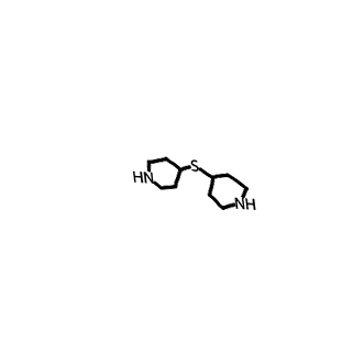 C1CC(SC2CCNCC2)CCN1